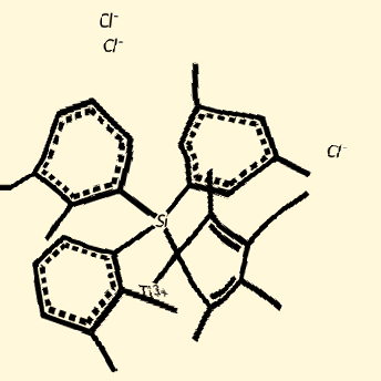 CC1=C(C)[C]([Ti+3])([Si](c2cc(C)cc(C)c2)(c2cccc(C)c2C)c2cccc(C)c2C)C(C)=C1C.[Cl-].[Cl-].[Cl-]